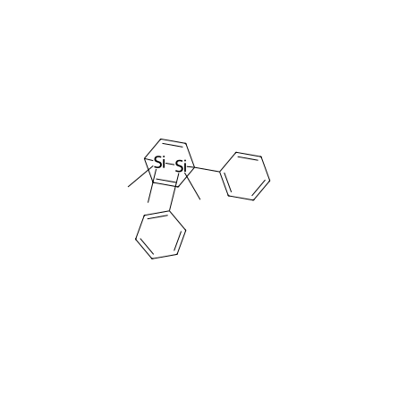 C[Si]1(C)C2C=CC(c3ccccc3)(C=C2)[Si]1(C)c1ccccc1